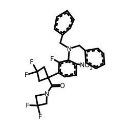 O=C(N1CC(F)(F)C1)C1(c2ccc([N+](=O)[O-])c(N(Cc3ccccc3)Cc3ccccc3)c2F)CC(F)(F)C1